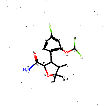 CC1C(c2ccc(F)cc2OC(F)F)C(C(N)=O)OC1(C)C(F)(F)F